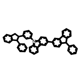 c1ccc(C2c3ccccc3-c3cc(-c4ccc5c(c4)c4ccccc4n5-c4cccc(C5Cc6ccccc6C5c5ccccc5)c4)ccc32)cc1